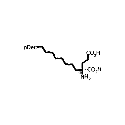 CCCCCCCCCCCCCCCCCC[C@](N)(CCC(=O)O)C(=O)O